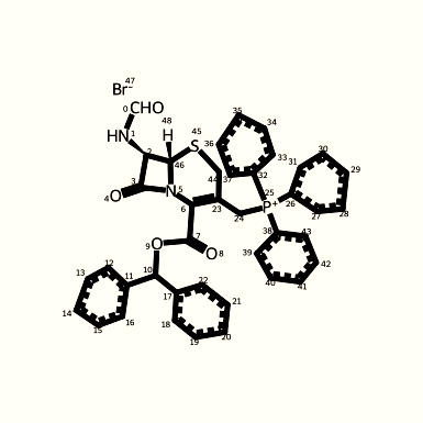 O=CN[C@@H]1C(=O)N2C(C(=O)OC(c3ccccc3)c3ccccc3)=C(C[P+](c3ccccc3)(c3ccccc3)c3ccccc3)CS[C@@H]12.[Br-]